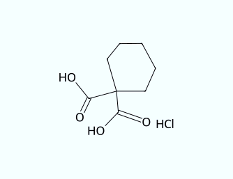 Cl.O=C(O)C1(C(=O)O)CCCCC1